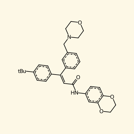 CC(C)(C)c1ccc(/C(=C/C(=O)Nc2ccc3c(c2)OCCO3)c2cccc(CN3CCOCC3)c2)cc1